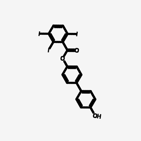 O=C(Oc1ccc(-c2ccc(O)cc2)cc1)c1c(I)ccc(I)c1I